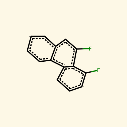 Fc1[c]ccc2c1c(F)cc1c[c]ccc12